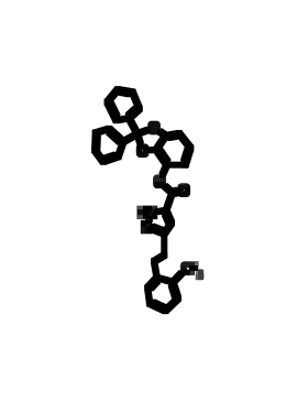 O=C(Oc1cccc2c1OC(c1ccccc1)(c1ccccc1)O2)c1cc(CCc2ccccc2C(F)(F)F)n[nH]1